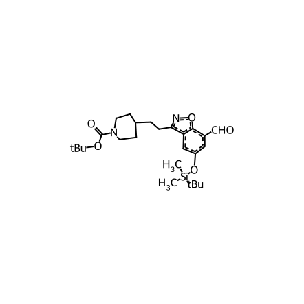 CC(C)(C)OC(=O)N1CCC(CCc2noc3c(C=O)cc(O[Si](C)(C)C(C)(C)C)cc23)CC1